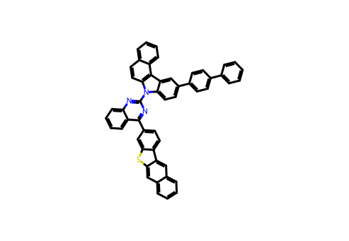 c1ccc(-c2ccc(-c3ccc4c(c3)c3c5ccccc5ccc3n4-c3nc(-c4ccc5c(c4)sc4cc6ccccc6cc45)c4ccccc4n3)cc2)cc1